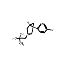 CC(C)(O)CN1C[C@@H]2C[C@]2(c2ccc(Br)cc2)C1